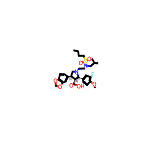 CCCCS(=O)(=O)N(CCN1C[C@H](c2ccc3c(c2)OCO3)[C@H](C(=O)O)[C@H]1c1ccc(OC)c(F)c1)CC(C)C